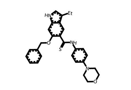 CCc1c[nH]c2cc(OCc3ccccc3)c(C(=S)Nc3ccc(N4CCOCC4)cc3)cc12